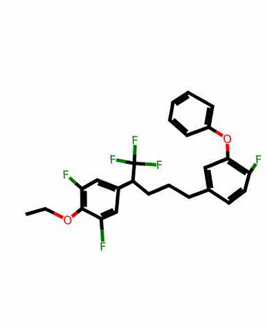 CCOc1c(F)cc(C(CCCc2ccc(F)c(Oc3ccccc3)c2)C(F)(F)F)cc1F